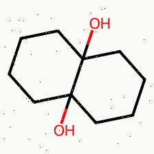 OC12CCCCC1(O)CCCC2